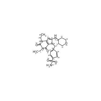 CCn1c(=O)c2c(nc(NC3CCOCC3)n2Cc2ccc(S(N)(=O)=O)cc2)n(CC)c1=O